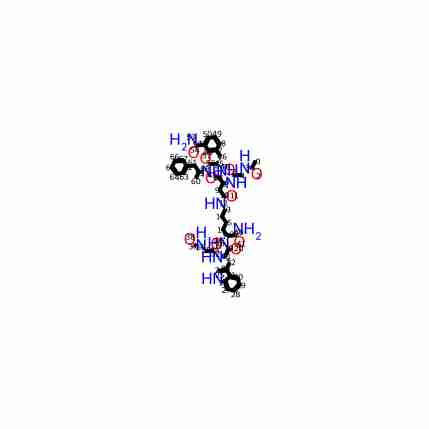 CC(=O)NCC(=O)NC(CC(=O)NCCCCC(NC(=O)[C@H](Cc1c[nH]c2ccccc12)NC(=O)CNC=O)C(N)=O)C(=O)N[C@@H](Cc1cccc(C(N)=O)c1)C(=O)NC(C)Cc1ccccc1